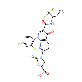 CCC(NC(=O)c1cn(-c2ccc(F)cc2F)c2nc(N3C[C@@H](C(=O)O)OC3=O)ccc2c1=O)C(F)(F)F